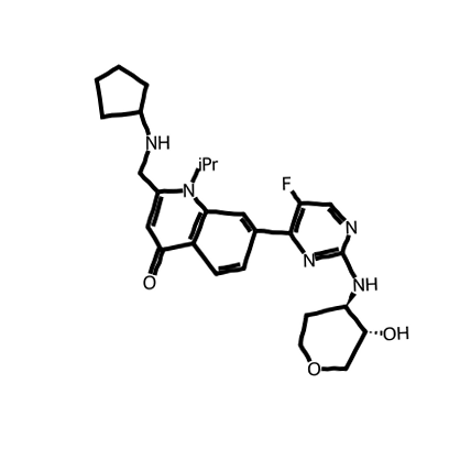 CC(C)n1c(CNC2CCCC2)cc(=O)c2ccc(-c3nc(N[C@@H]4CCOC[C@H]4O)ncc3F)cc21